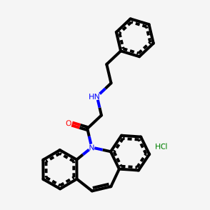 Cl.O=C(CNCCc1ccccc1)N1c2ccccc2C=Cc2ccccc21